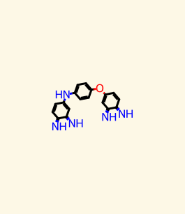 N=C1C=CC(Nc2ccc(OC3=CC(=N)C(=N)C=C3)cc2)=CC1=N